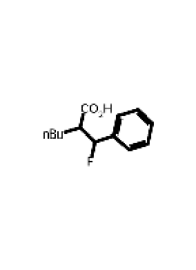 CCCCC(C(=O)O)C(F)c1ccccc1